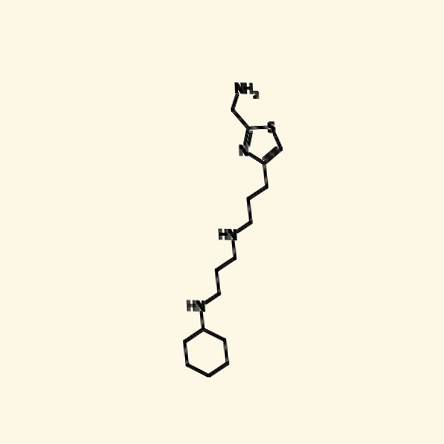 NCc1nc(CCCNCCCNC2CCCCC2)cs1